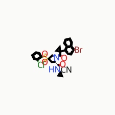 N#CC1(NC(=O)[C@@H]2C[C@@H](S(=O)(=O)c3ccccc3Cl)CN2C(=O)C2(c3ccc(Br)c4ccccc34)CC2)CC1